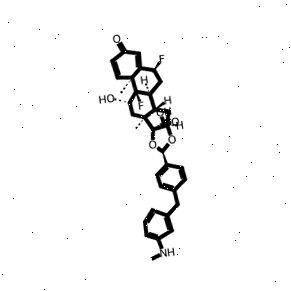 CNc1cccc(Cc2ccc([C@@H]3O[C@@H]4C[C@H]5[C@@H]6C[C@H](F)C7=CC(=O)C=C[C@]7(C)[C@@]6(F)[C@@H](O)C[C@]5(C)[C@]4(C(=O)O)O3)cc2)c1